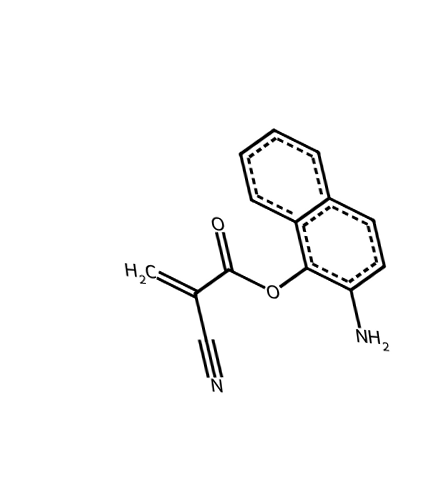 C=C(C#N)C(=O)Oc1c(N)ccc2ccccc12